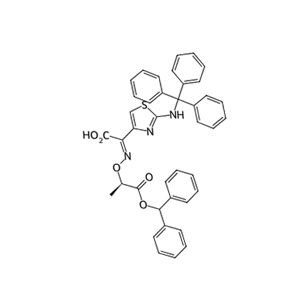 C[C@@H](ON=C(C(=O)O)c1csc(NC(c2ccccc2)(c2ccccc2)c2ccccc2)n1)C(=O)OC(c1ccccc1)c1ccccc1